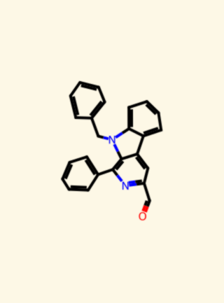 O=Cc1cc2c3ccccc3n(Cc3ccccc3)c2c(-c2ccccc2)n1